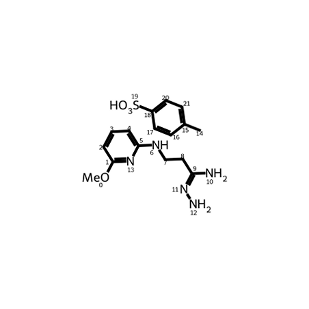 COc1cccc(NCCC(N)=NN)n1.Cc1ccc(S(=O)(=O)O)cc1